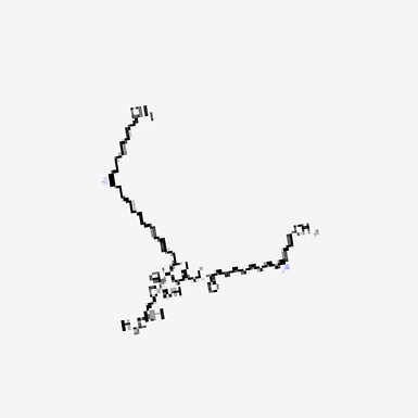 CCCC/C=C\CCCCCCCC(=O)OCC(COP(=O)(O)OCCNC)OC(=O)CCCCCCCCCCC/C=C\CCCCCCCC